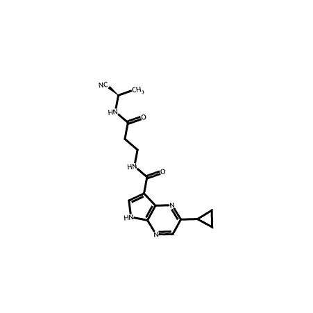 C[C@H](C#N)NC(=O)CCNC(=O)c1c[nH]c2ncc(C3CC3)nc12